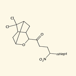 [CH2]CCCCCCC(CCC(=O)[C]1OC2CC3C1CC2C3(Cl)Cl)[N+](=O)[O-]